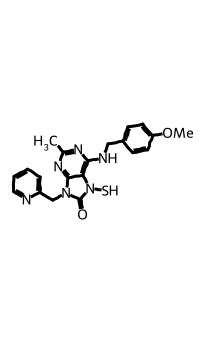 COc1ccc(CNc2nc(C)nc3c2n(S)c(=O)n3Cc2ccccn2)cc1